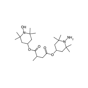 CC(CC(=O)OC1CC(C)(C)N(N)C(C)(C)C1)C(=O)OC1CC(C)(C)N(O)C(C)(C)C1